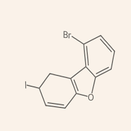 Brc1cccc2oc3c(c12)CC(I)C=C3